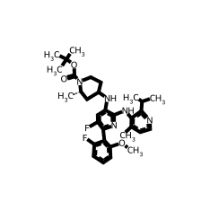 COc1cccc(F)c1-c1nc(Nc2c(C)ccnc2C(C)C)c(NC2CCN(C(=O)OC(C)(C)C)[C@@H](C)C2)cc1F